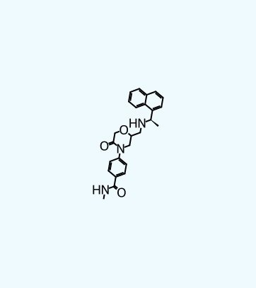 CNC(=O)c1ccc(N2CC(CN[C@H](C)c3cccc4ccccc34)OCC2=O)cc1